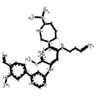 C=CCCNC(/C=C(/Nc1cc(-c2ccc(C=N)c(NC)c2)ncn1)C(=C)OC)=C(/C)N1CCCC(N(C)C)NC1